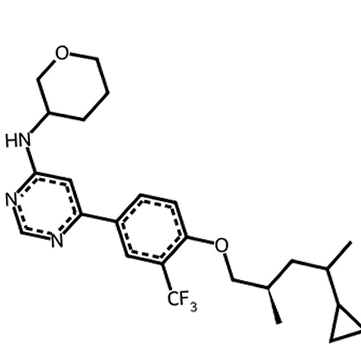 CC(C[C@@H](C)COc1ccc(-c2cc(NC3CCCOC3)ncn2)cc1C(F)(F)F)C1CC1